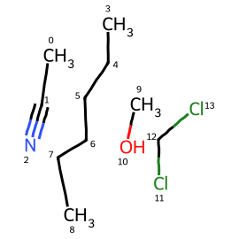 CC#N.CCCCCC.CO.ClCCl